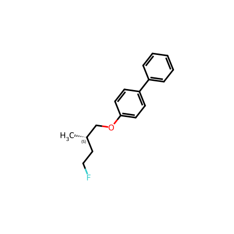 C[C@@H](CCF)COc1ccc(-c2ccccc2)cc1